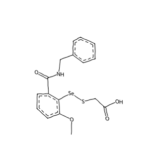 COc1cccc(C(=O)NCc2ccccc2)c1[Se]SCC(=O)O